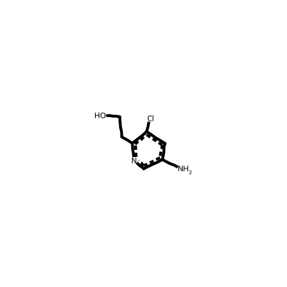 Nc1cnc(CCO)c(Cl)c1